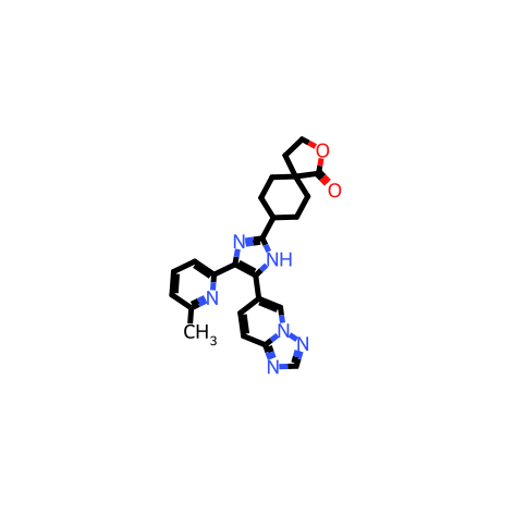 Cc1cccc(-c2nc(C3CCC4(CCOC4=O)CC3)[nH]c2-c2ccc3ncnn3c2)n1